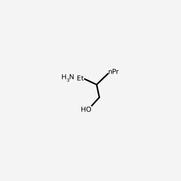 CCCC(CC)CO.N